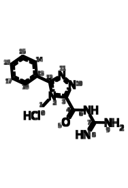 Cl.Cn1c(C(=O)NC(=N)N)nnc1-c1ccccc1